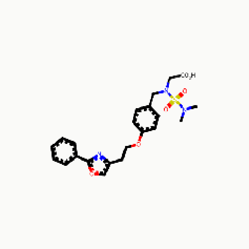 CN(C)S(=O)(=O)N(CC(=O)O)Cc1ccc(OCCc2coc(-c3ccccc3)n2)cc1